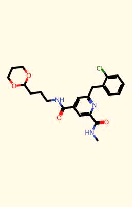 CNC(=O)c1cc(C(=O)NCCCC2OCCCO2)cc(Cc2ccccc2Cl)n1